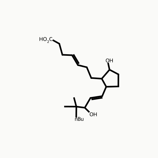 CCCCC(C)(C)C(O)C=CC1CCC(O)C1CCC=CCCC(=O)O